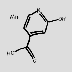 O=C(O)c1ccnc(O)c1.[Mn]